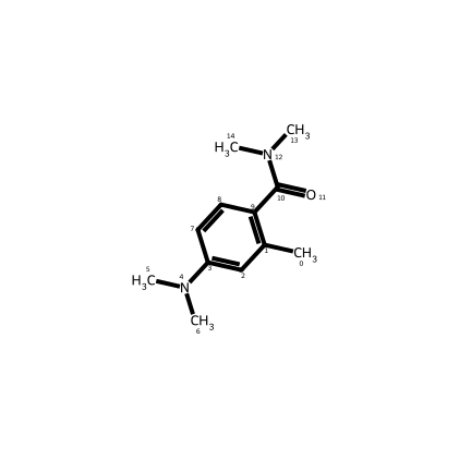 Cc1cc(N(C)C)ccc1C(=O)N(C)C